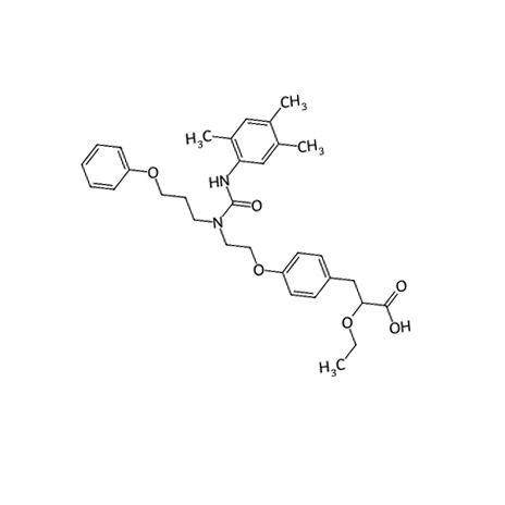 CCOC(Cc1ccc(OCCN(CCCOc2ccccc2)C(=O)Nc2cc(C)c(C)cc2C)cc1)C(=O)O